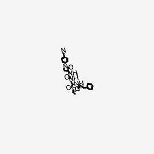 CCOC(=O)C(CNC(=O)NC1CCN(c2ccc(C#N)cc2)C1=O)NC(=O)OCc1ccccc1